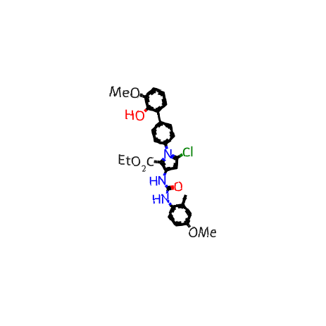 CCOC(=O)c1c(NC(=O)Nc2ccc(OC)cc2C)cc(Cl)n1-c1ccc(-c2cccc(OC)c2O)cc1